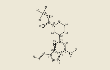 C/C=C/c1cnn2c(OC)cc(C3CCCN(C(=O)OC(C)(C)C)C3)nc12